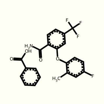 Cc1cc(F)ccc1Oc1cc(C(F)(F)F)ccc1C(N)=O.O=C(O)c1ccccc1